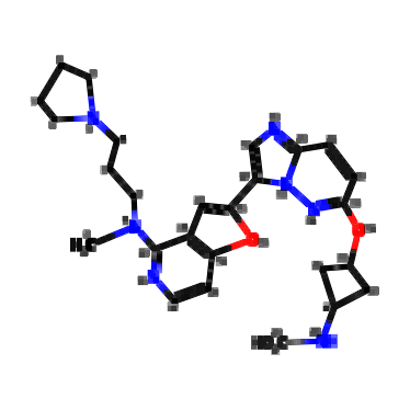 CN(CCCN1CCCC1)c1nccc2oc(-c3cnc4ccc(OC5CC(NC(=O)O)C5)nn34)cc12